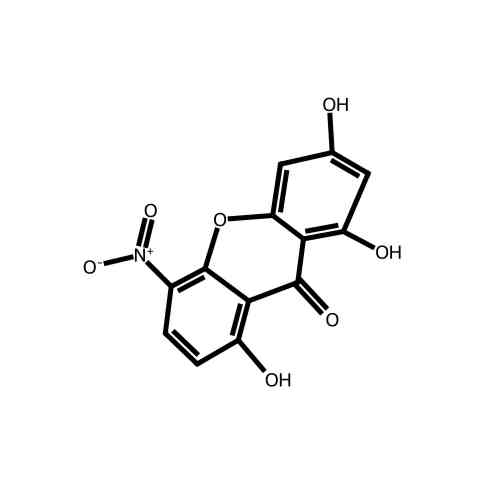 O=c1c2c(O)cc(O)cc2oc2c([N+](=O)[O-])ccc(O)c12